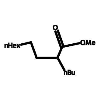 CCCCCCCCC(CCCC)C(=O)OC